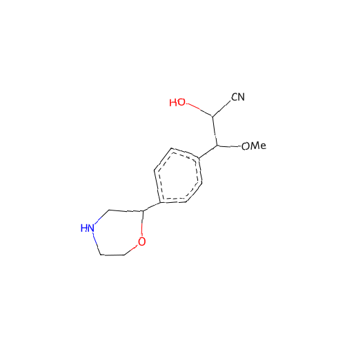 COC(c1ccc(C2CNCCO2)cc1)C(O)C#N